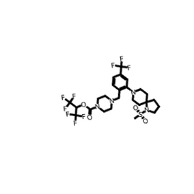 CS(=O)(=O)N1CCCC12CCN(c1cc(C(F)(F)F)ccc1CN1CCN(C(=O)OC(C(F)(F)F)C(F)(F)F)CC1)CC2